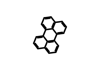 [c]1ccc2c3cc[c]c4cccc(c5cccc1c25)c43